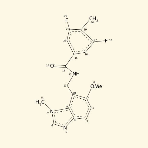 COc1ccc2ncn(C)c2c1CNC(=O)c1cc(F)c(C)c(F)c1